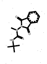 CN(C(=S)NC(C)(C)C)N1C(=O)c2ccccc2C1=O